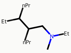 CCCC(CC)C(CCC)CN(C)CC